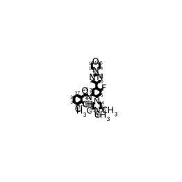 CC1CN(c2cc(F)c(-c3cnc(N4CCOCC4)nc3)cc2NC(=O)c2cccc(Cl)c2Cl)CC(C)N1C